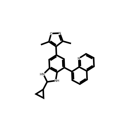 Cc1noc(C)c1-c1cc2c(c(-c3cccc4cccnc34)c1)NC(C1CC1)N2